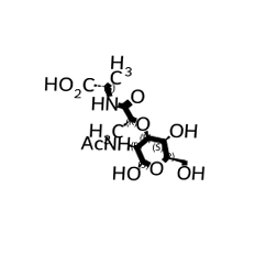 CC(=O)N[C@@H]1[C@@H](O[C@H](C)C(=O)N[C@@H](C)C(=O)O)[C@H](O)[C@@H](CO)O[C@@H]1O